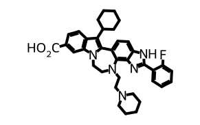 O=C(O)c1ccc2c(C3CCCCC3)c3n(c2c1)CCN(CCN1CCCCC1)c1c-3ccc2[nH]c(-c3ccccc3F)nc12